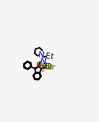 Br.Br.CCC(N1CCCCC1)N1CC=C2C(=C(c3ccccc3)c3ccccc32)C1.O